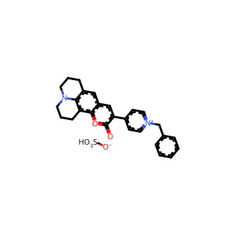 O=S(=O)([O-])O.O=c1oc2c3c4c(cc2cc1-c1cc[n+](Cc2ccccc2)cc1)CCCN4CCC3